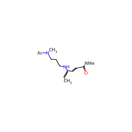 C/C=C(\C=C\C(=O)NC)NCCCN(C)C(C)=O